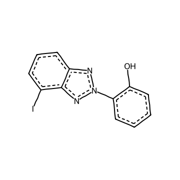 Oc1ccccc1-n1nc2cccc(I)c2n1